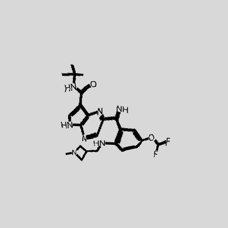 CN1CC(CNc2ccc(OC(F)F)cc2C(=N)c2cnc3[nH]cc(C(=O)NC(C)(C)C)c3n2)C1